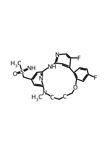 CN1CCCCOc2cc(F)ccc2-c2cc(ncc2F)Nc2cc(CS(C)(=N)=O)cc1n2